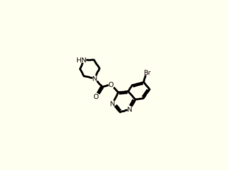 O=C(Oc1ncnc2ccc(Br)cc12)N1CCNCC1